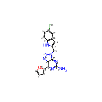 Nc1nc(-c2ccco2)c2nnn(Cc3cc4cc(F)ccc4[nH]3)c2n1